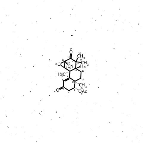 CC(=O)O[C@@H]1CC(=O)C=C2[C@@]3(C)C4OC4(C#N)C(=O)C(C)(C)[C@@H]3CC[C@]21C